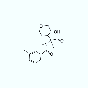 Cc1cccc(C(=O)NC(C)(C(=O)O)C2CCOCC2)c1